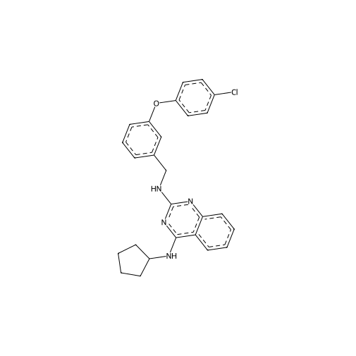 Clc1ccc(Oc2cccc(CNc3nc(NC4CCCC4)c4ccccc4n3)c2)cc1